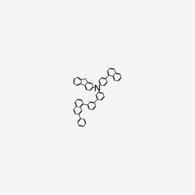 c1ccc(-c2ccc3cccc(-c4cccc(-c5cccc(N(c6ccc(-c7cccc8ccccc78)cc6)c6ccc7c(c6)Cc6ccccc6-7)c5)c4)c3c2)cc1